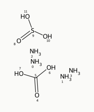 N.N.N.N.O=C(O)O.O=S(O)O